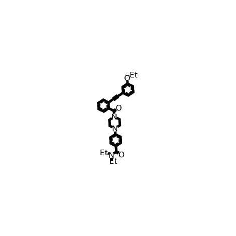 CCOc1cccc(C#Cc2ccccc2C(=O)N2CCN(c3ccc(C(=O)N(CC)CC)cc3)CC2)c1